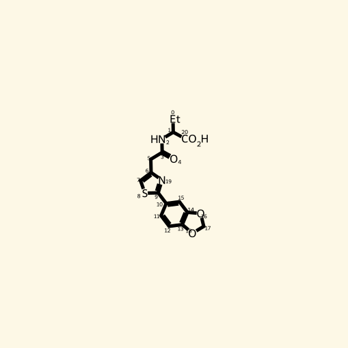 CCC(NC(=O)Cc1csc(-c2ccc3c(c2)OCO3)n1)C(=O)O